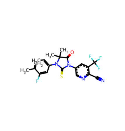 C=C(C)/C(F)=C\C(=C/C)N1C(=S)N(c2cnc(C#N)c(C(F)(F)F)c2)C(=O)C1(C)C